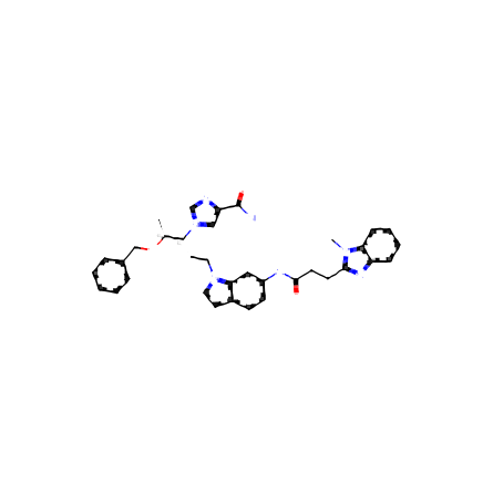 C[C@H](OCc1ccccc1)[C@@H](CCn1ccc2ccc(NC(=O)CCc3nc4ccccc4n3C)cc21)n1cnc(C(N)=O)c1